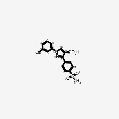 CS(=O)(=O)c1ccc(-c2nn(-c3cccc(Cl)c3)cc2C(=O)O)cc1